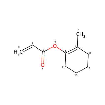 C=CC(=O)OC1=C(C)CCCC1